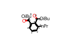 CCCc1cccc(C(=O)OCC(C)C)c1C(=O)OCC(C)C